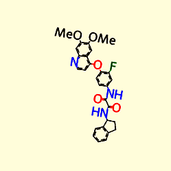 COc1cc2nccc(Oc3ccc(NC(=O)C(=O)NC4CCc5ccccc54)cc3F)c2cc1OC